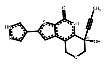 CC#C[C@]1(O)COCc2c1[nH]c(=O)c1sc(-c3cn[nH]c3)cc21